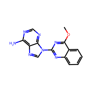 COc1nc(-n2cnc3c(N)ncnc32)nc2ccccc12